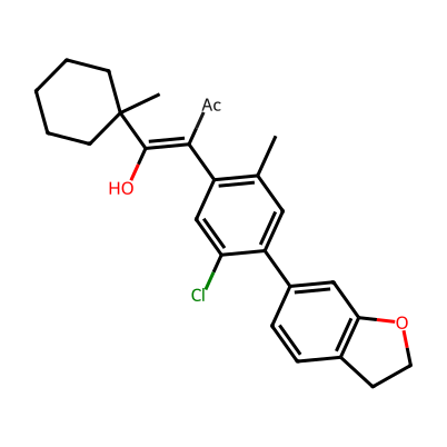 CC(=O)/C(=C(/O)C1(C)CCCCC1)c1cc(Cl)c(-c2ccc3c(c2)OCC3)cc1C